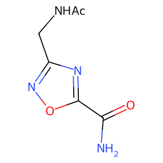 CC(=O)NCc1noc(C(N)=O)n1